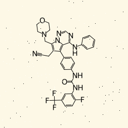 N#CCc1c(-c2ccc(NC(=O)Nc3cc(C(F)(F)F)ccc3F)cc2)c2c(Nc3ccccc3)ncnn2c1CN1CCOCC1